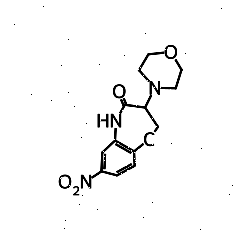 O=C1Nc2cc([N+](=O)[O-])ccc2CCC1N1CCOCC1